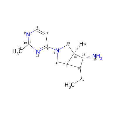 CCC1C2CN(c3ccnc(C)n3)C[C@H]2[C@@H]1N